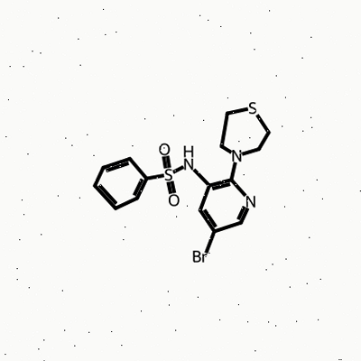 O=S(=O)(Nc1cc(Br)cnc1N1CCSCC1)c1ccccc1